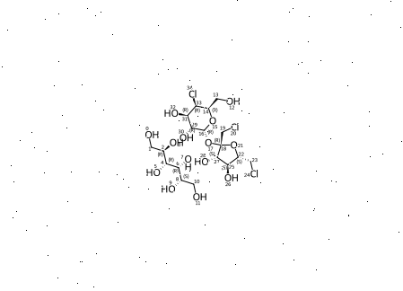 OC[C@@H](O)[C@@H](O)[C@H](O)[C@@H](O)CO.OC[C@H]1O[C@H](O[C@]2(CCl)O[C@H](CCl)[C@@H](O)[C@@H]2O)[C@H](O)[C@@H](O)[C@H]1Cl